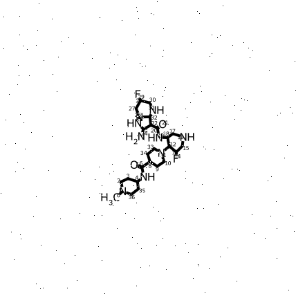 CN1CCC(NC(=O)C2CCN(C3C(F)CNCC3NC(=O)C3C(N)NN4CC(F)CNC34)CC2)CC1